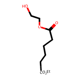 CCOC(=O)CCCCC(=O)OCCO